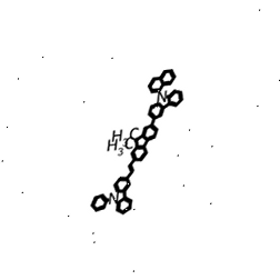 CC1(C)c2cc(/C=C/c3ccc4c(c3)c3ccccc3n4-c3ccccc3)ccc2-c2ccc(-c3ccc4c(c3)c3ccccc3n4-c3cccc4ccccc34)cc21